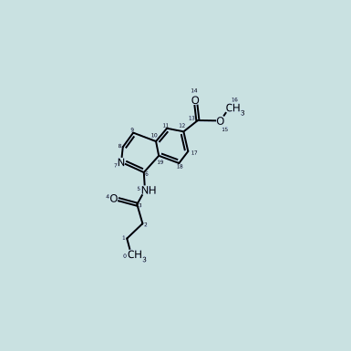 CCCC(=O)Nc1nccc2cc(C(=O)OC)ccc12